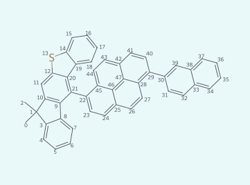 CC1(C)c2ccccc2-c2c1cc1sc3ccccc3c1c2-c1ccc2ccc3c(-c4ccc5ccccc5c4)ccc4ccc1c2c43